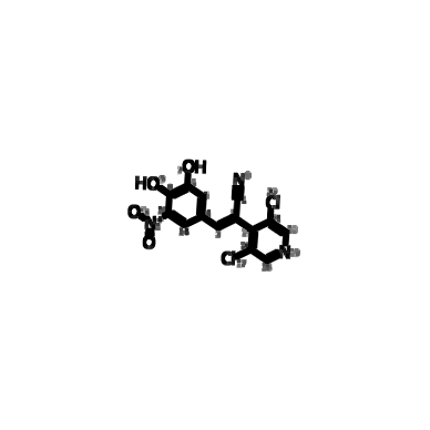 N#C/C(=C\c1cc(O)c(O)c([N+](=O)[O-])c1)c1c(Cl)cncc1Cl